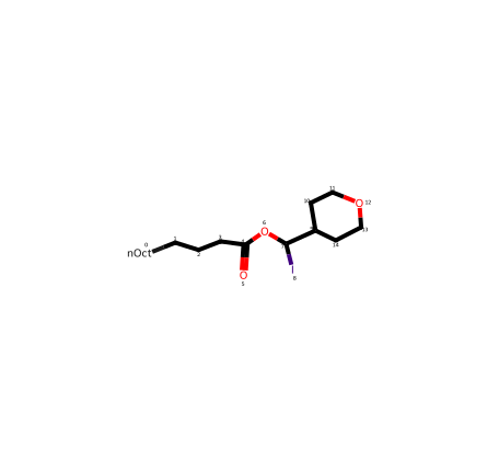 CCCCCCCCCCCC(=O)OC(I)C1CCOCC1